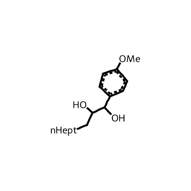 CCCCCCCCC(O)C(O)c1ccc(OC)cc1